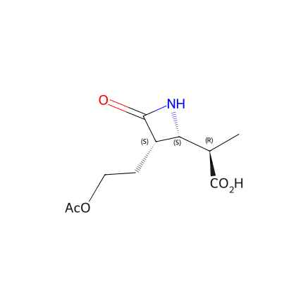 CC(=O)OCC[C@@H]1C(=O)N[C@@H]1[C@@H](C)C(=O)O